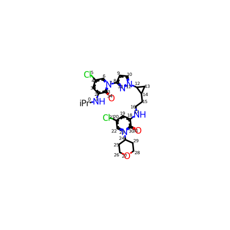 CC(C)Nc1cc(Cl)cn(-c2ccn(C3CC3CCNc3cc(Cl)cn(C4CCOCC4)c3=O)n2)c1=O